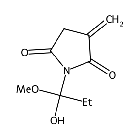 C=C1CC(=O)N(C(O)(CC)OC)C1=O